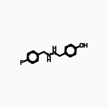 Oc1ccc(CNNCc2ccc(F)cc2)cc1